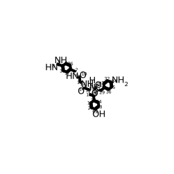 N=C(N)c1ccc(CNC(=O)CNC(=O)[C@@H](CCc2ccc(O)cc2)NS(=O)(=O)Cc2ccc(N)cc2)cc1